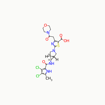 Cc1[nH]c(C(=O)N[C@H]2[C@@H]3CN(c4nc(CC(=O)N5CCOCC5)c(C(=O)O)s4)C[C@@H]32)c(Cl)c1Cl